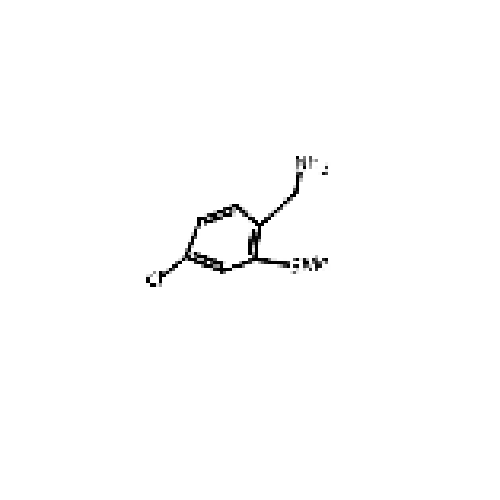 CSc1cc(Cl)ccc1CN